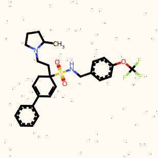 CC1CCCN1CCC1(S(=O)(=O)NCc2ccc(OC(F)(F)F)cc2)C=CC(c2ccccc2)=CC1